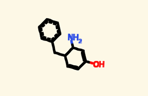 NC1C=C(O)C=CC1Cc1ccccc1